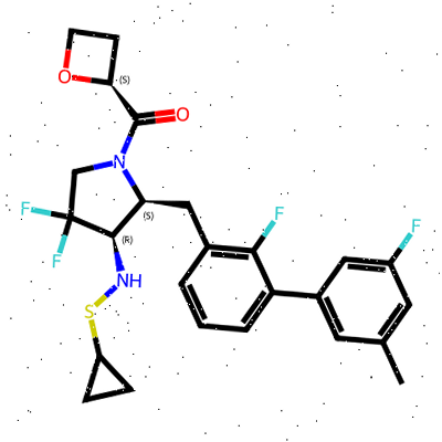 Cc1cc(F)cc(-c2cccc(C[C@H]3[C@@H](NSC4CC4)C(F)(F)CN3C(=O)[C@@H]3CCO3)c2F)c1